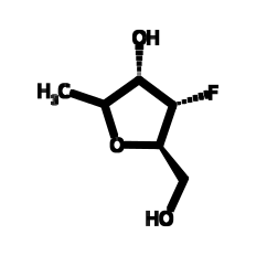 CC1O[C@H](CO)[C@@H](F)[C@H]1O